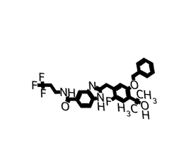 CC(C)(O)c1cc(F)c(Cc2nc3cc(C(=O)NCCC(F)(F)F)ccc3[nH]2)cc1OCc1ccccc1